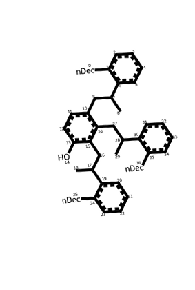 CCCCCCCCCCc1ccccc1C(C)Cc1ccc(O)c(CC(C)c2ccccc2CCCCCCCCCC)c1CC(C)c1ccccc1CCCCCCCCCC